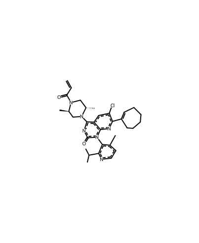 C=CC(=O)N1C[C@H](C)N(c2nc(=O)n(-c3c(C)ccnc3C(C)C)c3nc(C4=CCCCCC4)c(Cl)cc23)C[C@H]1C